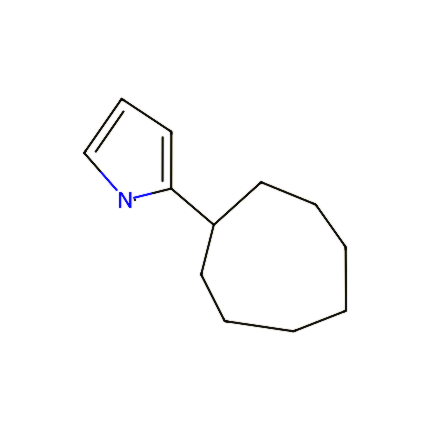 C1=C[N]C(C2CCCCCCC2)=C1